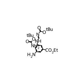 CC(C)(C)OC(N)=O.CCOC(=O)c1cc(N)cc(NC=NC(=O)OC(C)(C)C)c1